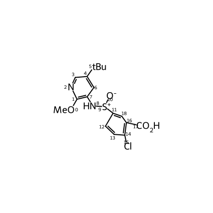 COc1ncc(C(C)(C)C)cc1N[S+]([O-])c1ccc(Cl)c(C(=O)O)c1